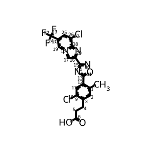 Cc1cc(CCC(=O)O)c(Cl)cc1-c1nc(-c2cn3cc(C(F)(F)F)cc(Cl)c3n2)no1